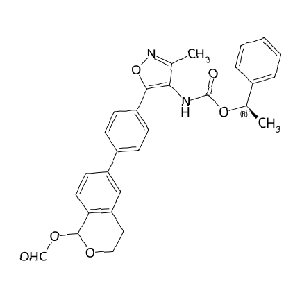 Cc1noc(-c2ccc(-c3ccc4c(c3)CCOC4OC=O)cc2)c1NC(=O)O[C@H](C)c1ccccc1